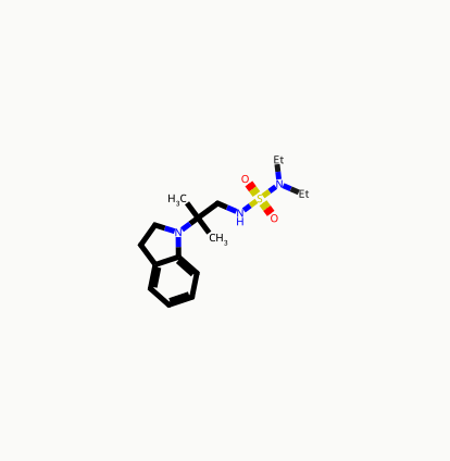 CCN(CC)S(=O)(=O)NCC(C)(C)N1CCc2ccccc21